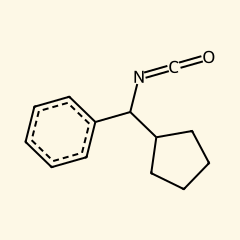 O=C=NC(c1ccccc1)C1CCCC1